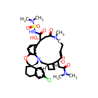 CN(C)C(=O)C[C@]1(O)/C=C/CCN(C)C(=O)C[C@](O)(C(=O)NS(=O)(=O)N(C)C)c2ccc3c(c2)N(C[C@@H]2CC[C@H]21)C[C@@]1(CCCc2cc(Cl)ccc21)CO3